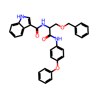 O=C(NC(COCc1ccccc1)C(=O)Nc1ccc(Oc2ccccc2)cc1)c1c[nH]c2ccccc12